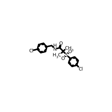 CC(C)(C(=O)NCc1ccc(Cl)cc1)S(=O)(=O)c1ccc(Cl)cc1